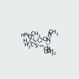 C=C(C/C(C)=C(/C(=C)SC/C=C/C(=C/C)C(=N\C)/C1CCN(C2CN(C)C2)CC1)c1ccc(Cl)cc1)OCCC